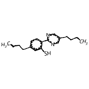 CCCCc1cnc(-c2ccc(CCCC)cc2S)nc1